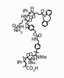 CN[C@H](C(=O)N[C@H](C(=O)N(C)[C@H](/C=C(\C)C(=O)O)C(C)C)C(C)(C)C)C(C)(C)c1ccc(CNC(=O)OCc2ccc(NC(=O)[C@H](CCCNC(N)=O)NC(=O)[C@@H](NC(=O)CCC(=O)N3Cc4ccccc4CCc4ccccc43)C(C)C)cc2)cc1